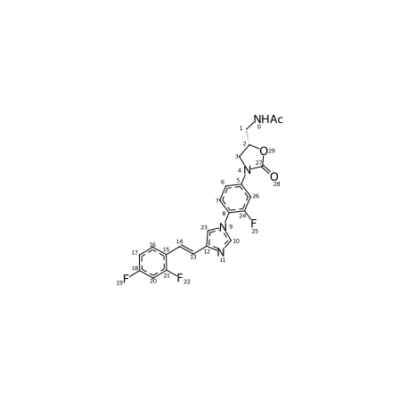 CC(=O)NC[C@H]1CN(c2ccc(-n3cnc(C=Cc4ccc(F)cc4F)c3)c(F)c2)C(=O)O1